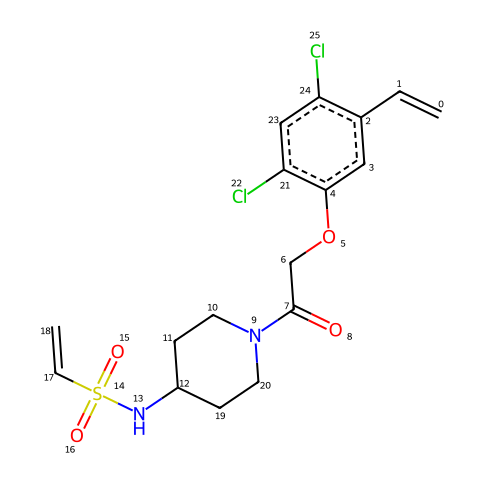 C=Cc1cc(OCC(=O)N2CCC(NS(=O)(=O)C=C)CC2)c(Cl)cc1Cl